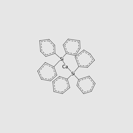 c1ccc([Si]([Ca][Si](c2ccccc2)(c2ccccc2)c2ccccc2)(c2ccccc2)c2ccccc2)cc1